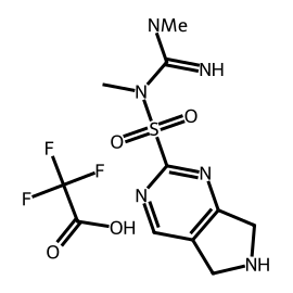 CNC(=N)N(C)S(=O)(=O)c1ncc2c(n1)CNC2.O=C(O)C(F)(F)F